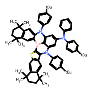 CC(C)(C)c1ccc(N(c2ccccc2)c2cc3c4c(c2)N(c2ccc(C(C)(C)C)cc2)c2c(sc5cc6c(cc25)C(C)(C)CCC6(C)C)B4c2cc4c(cc2N3c2ccc(C(C)(C)C)cc2)C(C)(C)CCC4(C)C)cc1